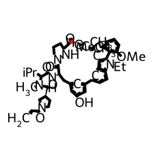 C=CC(=O)N1CC[C@H](C(=O)N(C)C(C(=O)N[C@H]2Cc3cc(O)cc(c3)-c3ccc4c(c3)c(c(-c3c(OC)cccc3OC)n4CC)CC(C)(C)COC(=O)[C@@H]3CCCN(N3)C2=O)C(C)C)C1